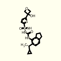 C[C@H](c1ccc2c(c1NC(=O)N[S@@](=N)(=O)c1ccc(C3(O)COC3)s1)CCC2)C1CC1